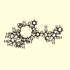 CC(c1ccccc1)C1NC(=O)CNC(=O)C(CO)NC(=O)C(C(O)C2CNC(=N)N2C2OC(CO)C(O)C(O)C2O)NC(=O)C(C(O)C2CNC(=N)N2)NC(=O)C(Cc2ccc(OC3OC(CO)C(OC4OC5COC6(OC5C(O)C4O)C(C)CCCC6C)C(O)C3O)cc2)NC1=O